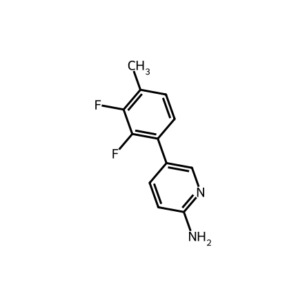 Cc1ccc(-c2ccc(N)nc2)c(F)c1F